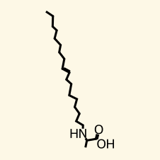 CCCCCCCCC=CCCCCCCCCNC(C)C(=O)O